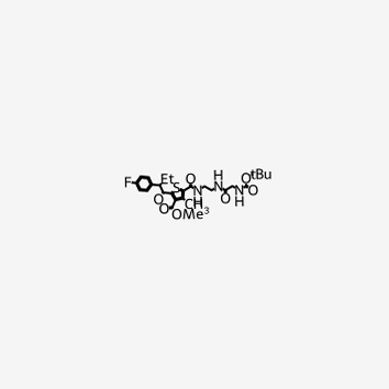 CCC(C(=O)c1sc(C(=O)NCCNC(=O)CNC(=O)OC(C)(C)C)c(C)c1C(=O)OC)c1ccc(F)cc1